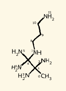 CC(N)(N)C(N)(N)NCCCN